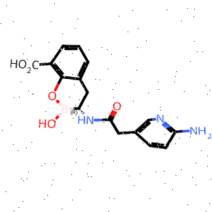 Nc1ccc(CC(=O)N[C@H]2Cc3cccc(C(=O)O)c3OB2O)cn1